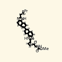 CCCN(C)Cc1nc2ccc3cc(-c4ccc5c(ccc6nc(C7CCN7C(=O)CNC(=O)OC)[nH]c65)c4)ccc3c2[nH]1